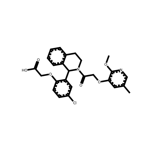 COc1ncc(C)cc1OCC(=O)N1CCc2ccccc2C1c1cc(Cl)ccc1OCC(=O)O